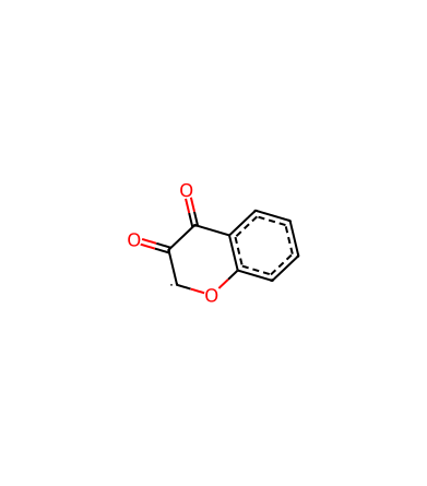 O=C1[CH]Oc2ccccc2C1=O